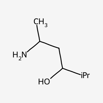 CC(N)CC(O)C(C)C